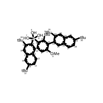 COc1ccc(P(O)(O)(O)c2cc3ccc(C(C)(C)C)cc3cc2C(C)(C)C)c(C(C)(C)C)c1-c1cc2ccc(C(C)(C)C)cc2cc1C(C)(C)C